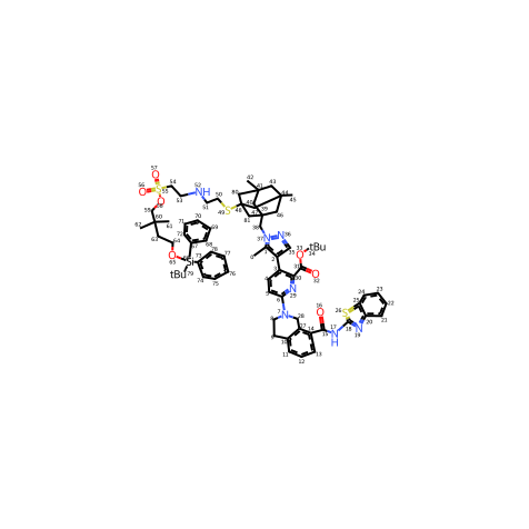 Cc1c(-c2ccc(N3CCc4cccc(C(=O)Nc5nc6ccccc6s5)c4C3)nc2C(=O)OC(C)(C)C)cnn1CC12CC3(C)CC(C)(C1)CC(SCCNCCS(=O)(=O)OCC(C)(C)CCO[Si](c1ccccc1)(c1ccccc1)C(C)(C)C)(C3)C2